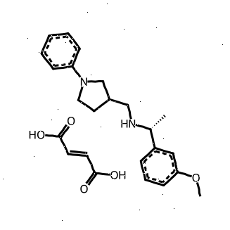 COc1cccc([C@@H](C)NCC2CCN(c3ccccc3)C2)c1.O=C(O)C=CC(=O)O